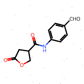 O=Cc1ccc(NC(=O)C2COC(=O)C2)cc1